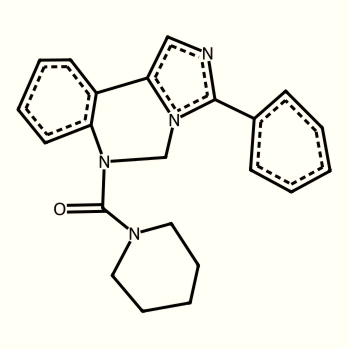 O=C(N1CCCCC1)N1Cn2c(cnc2-c2ccccc2)-c2ccccc21